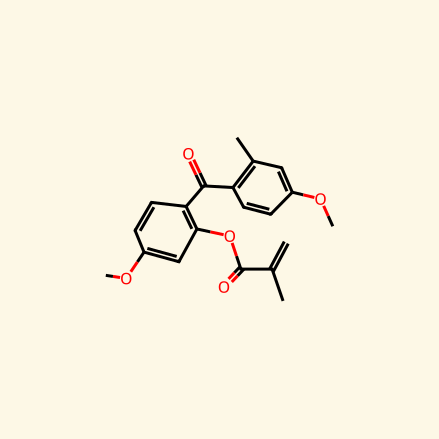 C=C(C)C(=O)Oc1cc(OC)ccc1C(=O)c1ccc(OC)cc1C